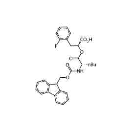 CCCC[C@H](NC(=O)OCC1c2ccccc2-c2ccccc21)C(=O)O[C@@H](Cc1ccccc1F)C(=O)O